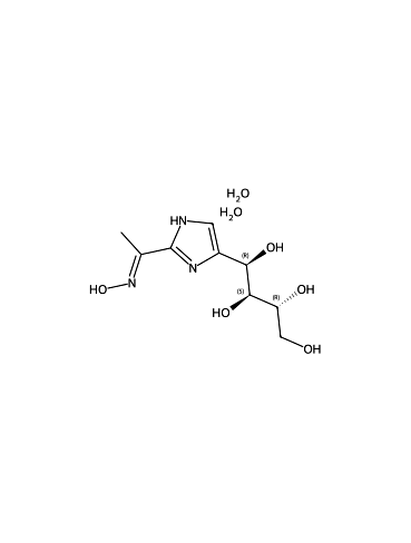 CC(=NO)c1nc([C@@H](O)[C@H](O)[C@H](O)CO)c[nH]1.O.O